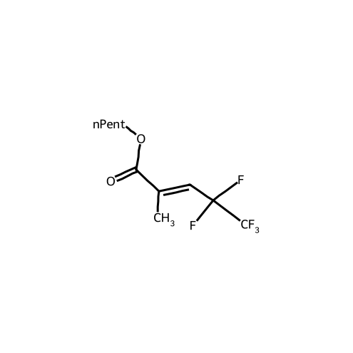 CCCCCOC(=O)C(C)=CC(F)(F)C(F)(F)F